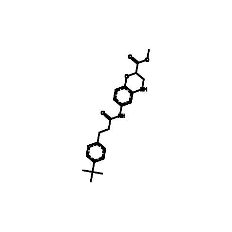 COC(=O)C1CNc2cc(NC(=O)CCc3ccc(C(C)(C)C)cc3)ccc2O1